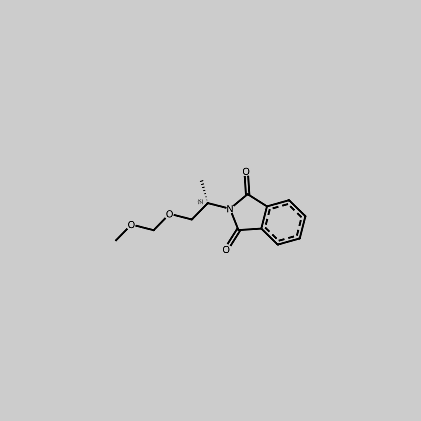 COCOC[C@H](C)N1C(=O)c2ccccc2C1=O